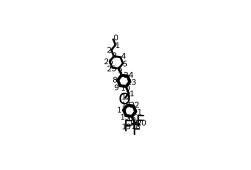 CCCC1CCC(c2ccc(COc3ccc(C(F)(F)F)cc3)cc2)CC1